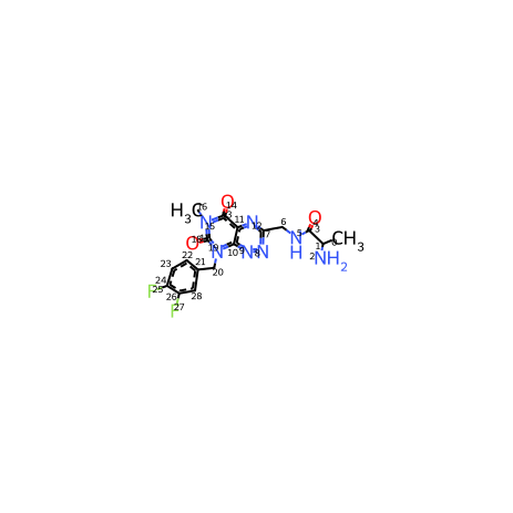 CC(N)C(=O)NCc1nnc2c(n1)c(=O)n(C)c(=O)n2Cc1ccc(F)c(F)c1